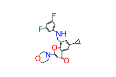 O=c1cc(N2CCOCC2)oc2c(CNc3cc(F)cc(F)c3)cc(C3CC3)cc12